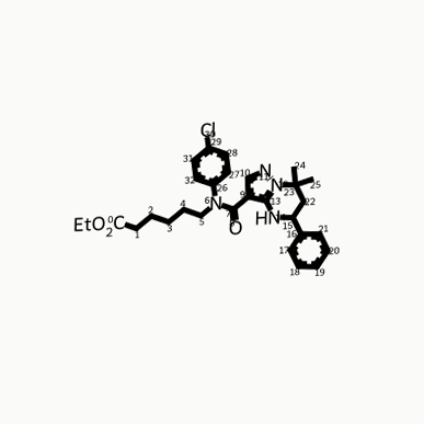 CCOC(=O)CCCCCN(C(=O)c1cnn2c1NC(c1ccccc1)CC2(C)C)c1ccc(Cl)cc1